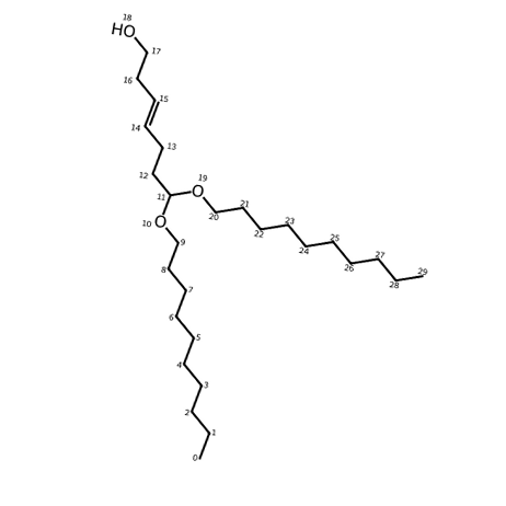 CCCCCCCCCCOC(CC/C=C/CCO)OCCCCCCCCCC